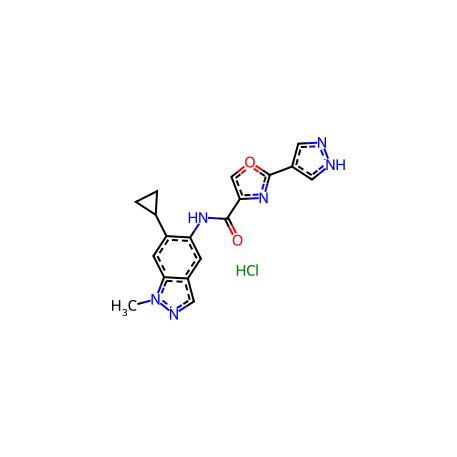 Cl.Cn1ncc2cc(NC(=O)c3coc(-c4cn[nH]c4)n3)c(C3CC3)cc21